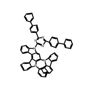 c1ccc(-c2ccc(-c3nc(-c4ccc(-c5ccccc5)cc4)nc(-n4c5ccccc5c5c6c7ccccc7n(-c7ccccc7)c6c(-n6c7ccccc7c7ccccc76)cc54)n3)cc2)cc1